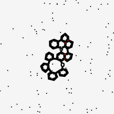 c1ccc(-c2ccccc2N(c2ccc3c(c2)-c2ccccc2-c2ccccc2-c2ccccc2-c2ccccc2O3)c2ccccc2-c2ccccc2)cc1